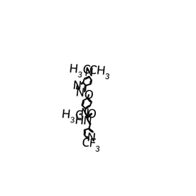 CN(C)c1ccc2c(Oc3ccc(N(C)C(=O)NCc4ccc(C(F)(F)F)nc4)cc3)ncnc2c1